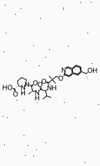 CC(C)[C@H](NC(=O)C(C)(C)COc1cc2cc([C@@H](C)O)ccc2cn1)C(=O)N[C@@H](C)C(=O)N1CCC[C@@H](C(=O)O)N1